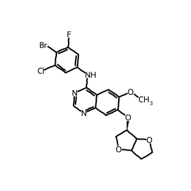 COc1cc2c(Nc3cc(F)c(Br)c(Cl)c3)ncnc2cc1O[C@@H]1COC2CCOC21